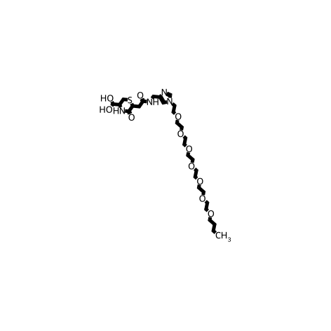 CCCCOCCOCCOCCOCCOCCOCCOCCn1cnc(CNC(=O)CC2SCC(C(O)O)NC2=O)c1